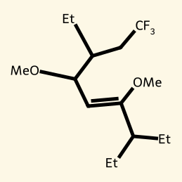 CCC(CC)/C(=C/C(OC)C(CC)CC(F)(F)F)OC